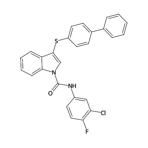 O=C(Nc1ccc(F)c(Cl)c1)n1cc(Sc2ccc(-c3ccccc3)cc2)c2ccccc21